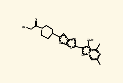 COc1c(-c2nc3sc(C4CCN(C(=O)OC(C)(C)C)CC4)cc3s2)nn2cc(C)nc(C)c12